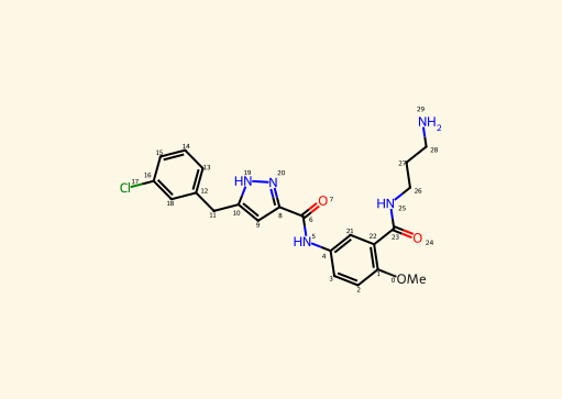 COc1ccc(NC(=O)c2cc(Cc3cccc(Cl)c3)[nH]n2)cc1C(=O)NCCCN